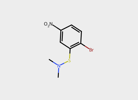 CN(C)Sc1cc([N+](=O)[O-])ccc1Br